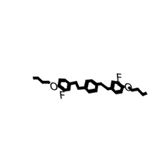 CCCCOc1ccc(CCc2ccc(CCc3ccc(OCCCC)c(F)c3)cc2)cc1F